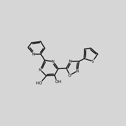 Oc1nc(-c2ccccn2)nc(-c2nc(-c3cccs3)no2)c1O